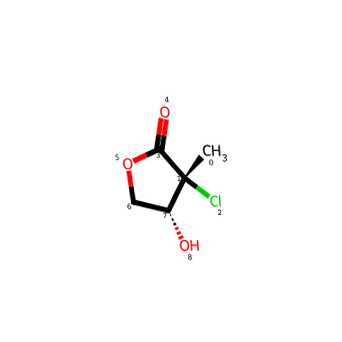 C[C@]1(Cl)C(=O)OC[C@H]1O